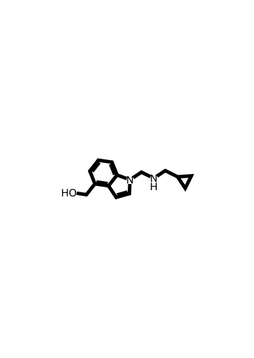 OCc1cccc2c1ccn2CNCC1CC1